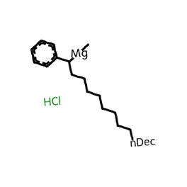 CCCCCCCCCCCCCCCCCC[CH]([Mg][CH3])c1ccccc1.Cl